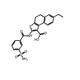 NS(=O)(=O)c1cccc(C(=O)Nc2sc3c(c2C(=O)O)-c2ccc(CI)cc2CC3)c1